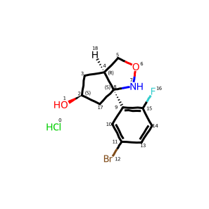 Cl.O[C@H]1C[C@H]2CON[C@@]2(c2cc(Br)ccc2F)C1